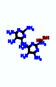 Br.Br.Nc1nc(N)c(N)c(N)n1.Nc1nc(N)c(N)c(N)n1